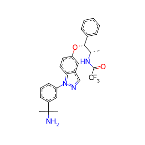 C[C@H](NC(=O)C(F)(F)F)[C@H](Oc1ccc2c(cnn2-c2cccc(C(C)(C)N)c2)c1)c1ccccc1